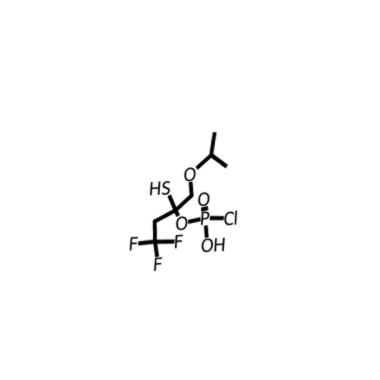 CC(C)OCC(S)(CC(F)(F)F)OP(=O)(O)Cl